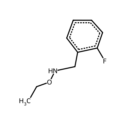 CCONCc1ccccc1F